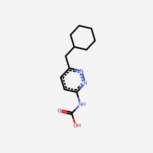 O=C(O)Nc1ccc(CC2CCCCC2)nn1